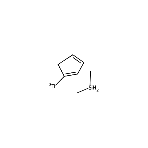 C[SiH2]C.[3Ti][C]1=CC=CC1